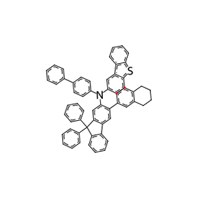 c1ccc(-c2ccc(N(c3ccc4sc5ccccc5c4c3)c3cc4c(cc3-c3ccc5c(c3)CCCC5)-c3ccccc3C4(c3ccccc3)c3ccccc3)cc2)cc1